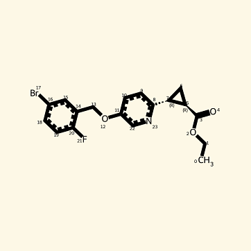 CCOC(=O)[C@@H]1C[C@H]1c1ccc(OCc2cc(Br)ccc2F)cn1